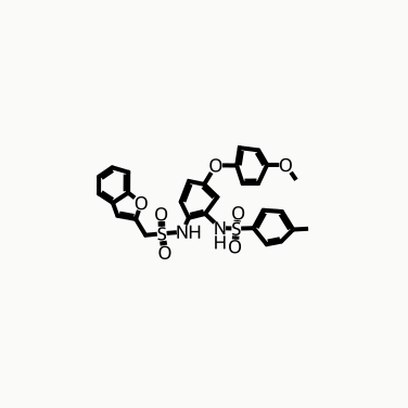 COc1ccc(Oc2ccc(NS(=O)(=O)Cc3cc4ccccc4o3)c(NS(=O)(=O)c3ccc(C)cc3)c2)cc1